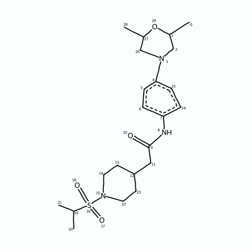 CC1CN(c2ccc(NC(=O)CC3CCN(S(=O)(=O)C(C)C)CC3)cc2)CC(C)O1